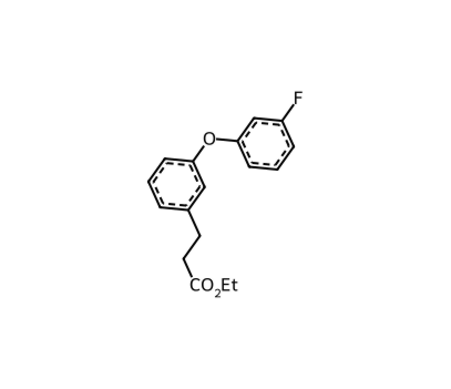 CCOC(=O)CCc1cccc(Oc2cccc(F)c2)c1